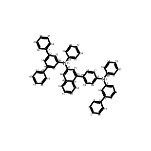 c1ccc(-c2cccc(N(c3ccccc3)c3ccc(-c4cc(N(c5ccccc5)c5cc(-c6ccccc6)cc(-c6ccccc6)c5)cc5ccccc45)cc3)c2)cc1